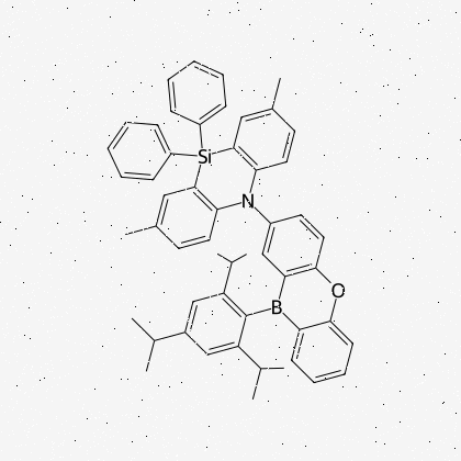 Cc1ccc2c(c1)[Si](c1ccccc1)(c1ccccc1)c1cc(C)ccc1N2c1ccc2c(c1)B(c1c(C(C)C)cc(C(C)C)cc1C(C)C)c1ccccc1O2